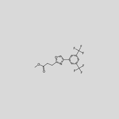 COC(=O)CCc1nc(-c2cc(C(F)(F)F)cc(C(F)(F)F)c2)co1